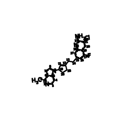 Cc1nccc2c1ccn2C1C=C(CCc2cc(F)c3cc(Cl)c(N)nc3c2)CC1